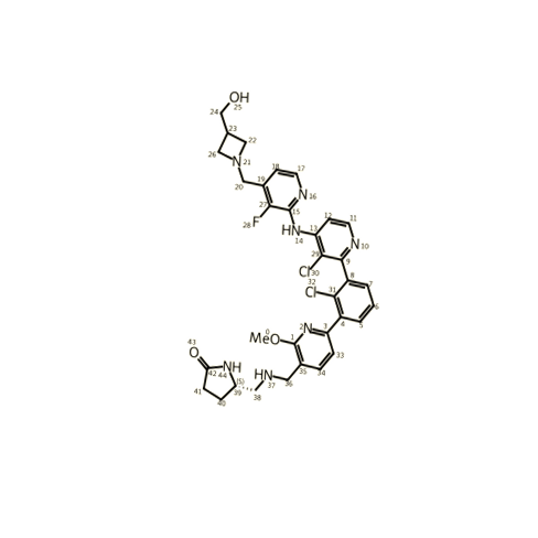 COc1nc(-c2cccc(-c3nccc(Nc4nccc(CN5CC(CO)C5)c4F)c3Cl)c2Cl)ccc1CNC[C@@H]1CCC(=O)N1